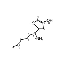 COCCCN(N)c1cc(O)ns1